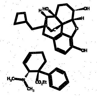 CCOC(=O)[C@]1(c2ccccc2)CCC=C[C@H]1N(C)C.Oc1ccc2c3c1O[C@H]1[C@@H](O)CC[C@@]4(O)[C@@H](C2)N(CC2CCC2)CC[C@]314